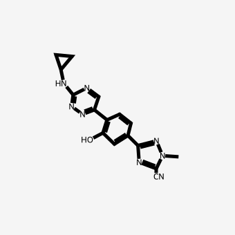 Cn1nc(-c2ccc(-c3cnc(NC4CC4)nn3)c(O)c2)nc1C#N